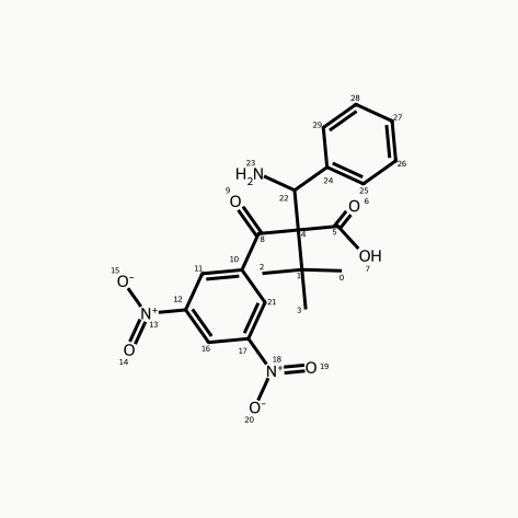 CC(C)(C)C(C(=O)O)(C(=O)c1cc([N+](=O)[O-])cc([N+](=O)[O-])c1)C(N)c1ccccc1